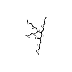 COCOCC(=O)OC(COCOC)[C@H](COCOC)OCOC